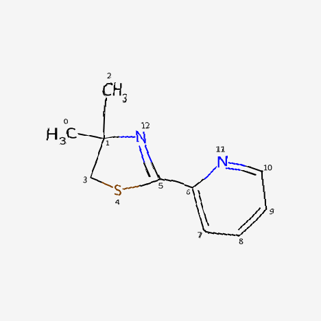 CC1(C)CSC(c2ccccn2)=N1